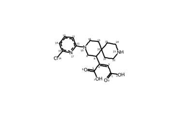 O=C(O)C=C(C(=O)O)C1CN(c2cccc(Cl)n2)CCC12CCNCC2